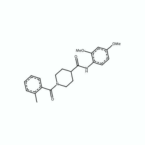 COc1ccc(NC(=O)C2CCN(C(=O)c3ccccc3C)CC2)c(OC)c1